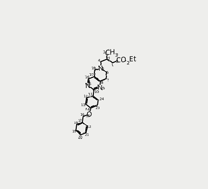 CCOC(=O)CC(C)CN1CCc2nc(-c3ccc(OCc4ccccc4)cc3)ncc2C1